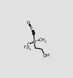 C[N+](C)(C#P=O)CCO.[F-]